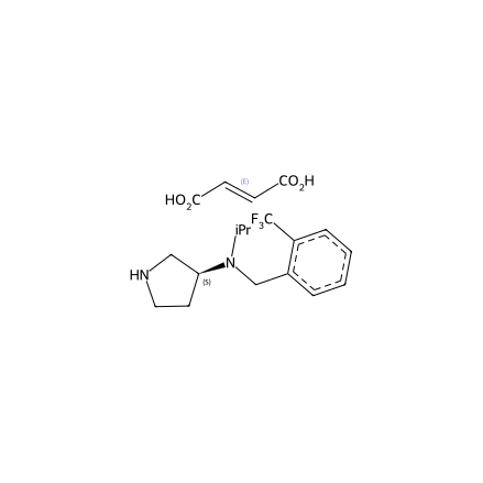 CC(C)N(Cc1ccccc1C(F)(F)F)[C@H]1CCNC1.O=C(O)/C=C/C(=O)O